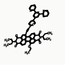 CCOc1cc2c3c(ccc4c5c(C#Cc6ccc(-c7cc(-c8ccccn8)nc(-c8ccccn8)c7)cc6)cc6c7c(ccc(c1c34)c75)C(=O)N(C(CC)CC)C6=O)C(=O)N(C(CC)CC)C2=O